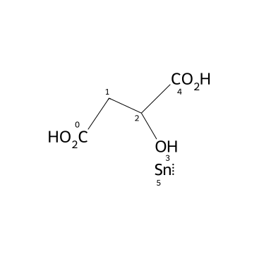 O=C(O)CC(O)C(=O)O.[Sn]